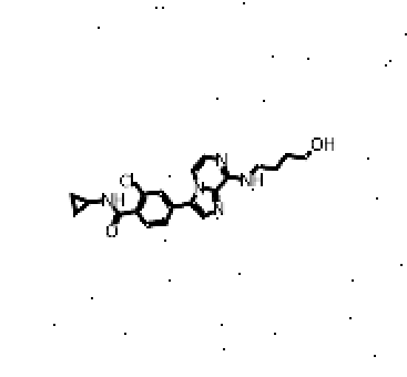 O=C(NC1CC1)c1ccc(-c2cnc3c(NCCCCO)nccn23)cc1Cl